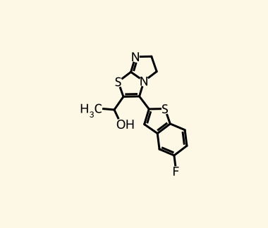 CC(O)C1=C(c2cc3cc(F)ccc3s2)N2CCN=C2S1